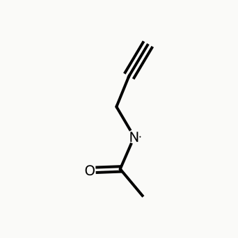 C#CC[N]C(C)=O